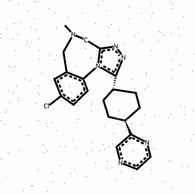 CN1Cc2cc(Cl)ccc2-n2c(nnc2[C@H]2CC[C@H](c3cnccn3)CC2)C1